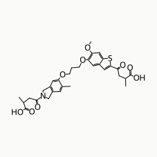 COc1cc2sc(C(=O)CC(C)C(=O)O)cc2cc1OCCCOc1cc2c(cc1C)CN(C(=O)CC(C)C(=O)O)C2